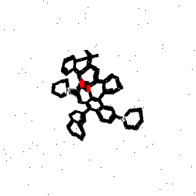 CC1(C)c2cc(-c3ccccc3-c3c4ccc(N5CCCCC5)cc4c(-c4ccc5ccccc5c4)c4ccc(N5CCCCC5)cc34)ccc2C2C=CC=CC21